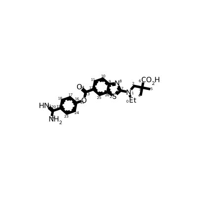 CCN(CC(C)(C)C(=O)O)c1nc2ccc(C(=O)Oc3ccc(C(=N)N)cc3)cc2s1